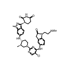 CNCCN1C(=O)Cc2cc(Nc3nc(N4CC[C@@H](Nc5ccc6c([C@@H]7CCC(=O)NC7=O)nn(C)c6c5)[C@H](C)C4)ncc3Cl)ccc21